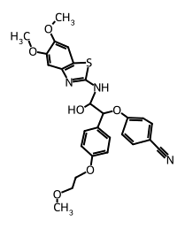 COCCOc1ccc(C(Oc2ccc(C#N)cc2)C(O)Nc2nc3cc(OC)c(OC)cc3s2)cc1